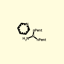 CCCCCN(N)CCCCC.c1ccncc1